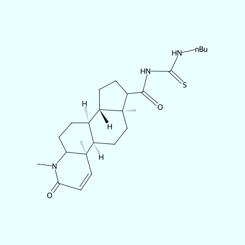 CCCCNC(=S)NC(=O)C1CC[C@H]2[C@@H]3CCC4N(C)C(=O)C=C[C@]4(C)[C@@H]3CC[C@]12C